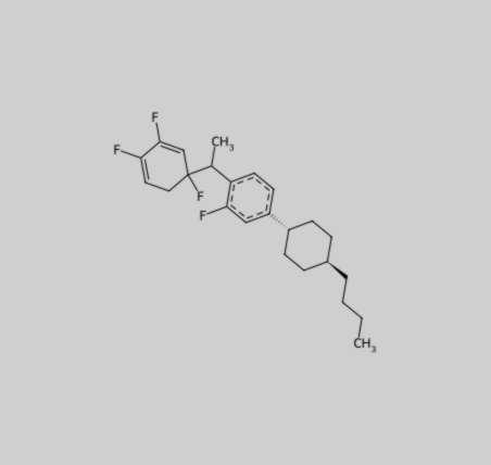 CCCC[C@H]1CC[C@H](c2ccc(C(C)C3(F)C=C(F)C(F)=CC3)c(F)c2)CC1